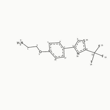 NCCOc1ccc(-c2csc(C(F)(F)F)n2)cc1